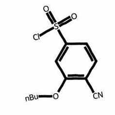 CCCCOc1cc(S(=O)(=O)Cl)ccc1C#N